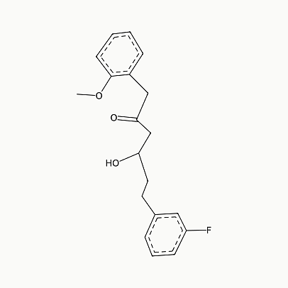 COc1ccccc1CC(=O)CC(O)CCc1cccc(F)c1